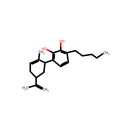 C=C(C)C1CC=C(C)C(c2ccc(CCCCC)c(O)c2O)C1